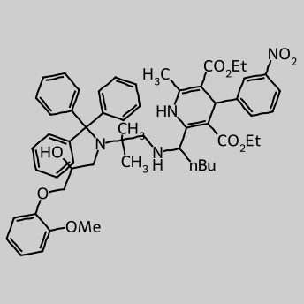 CCCCC(NCC(C)(C)N(CC(O)COc1ccccc1OC)C(c1ccccc1)(c1ccccc1)c1ccccc1)C1=C(C(=O)OCC)C(c2cccc([N+](=O)[O-])c2)C(C(=O)OCC)=C(C)N1